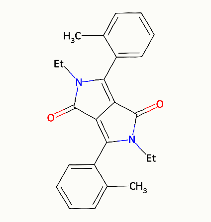 CCN1C(=O)C2=C(c3ccccc3C)N(CC)C(=O)C2=C1c1ccccc1C